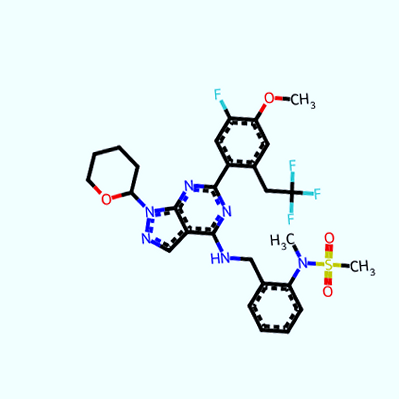 COc1cc(CC(F)(F)F)c(-c2nc(NCc3ccccc3N(C)S(C)(=O)=O)c3cnn(C4CCCCO4)c3n2)cc1F